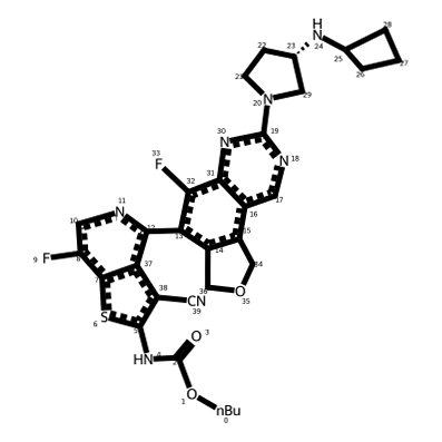 CCCCOC(=O)Nc1sc2c(F)cnc(-c3c4c(c5cnc(N6CC[C@H](NC7CCC7)C6)nc5c3F)COC4)c2c1C#N